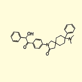 CN(C)C1(c2ccccc2)CCC2(CC1)CC(=O)N(c1ccc(C(=O)C(O)c3ccccc3)cc1)C2